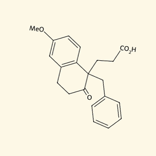 COc1ccc2c(c1)CCC(=O)C2(CCC(=O)O)Cc1ccccc1